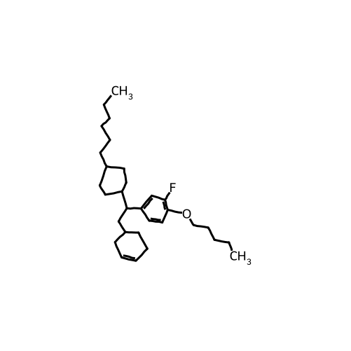 CCCCCCC1CCC(C(CC2CC=CCC2)c2ccc(OCCCCC)c(F)c2)CC1